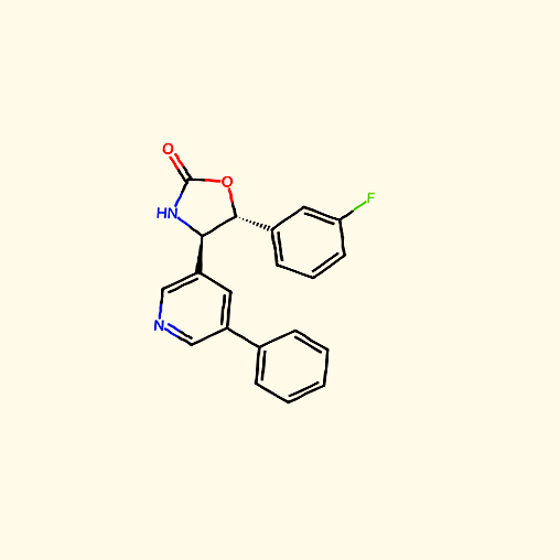 O=C1N[C@H](c2cncc(-c3ccccc3)c2)[C@@H](c2cccc(F)c2)O1